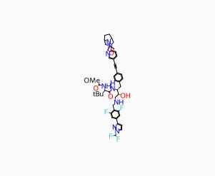 COC(=O)NC(C(=O)N[C@@H](Cc1ccc(C#Cc2ccc(N3CC4CCC(C3)N4C3COC3)nc2)cc1)[C@@H](O)CNCc1c(F)cc(-c2ccn(C(F)F)n2)cc1F)C(C)(C)C